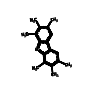 Cc1cc2c(oc3c(C)c(C)c(C)cc32)c(C)c1C